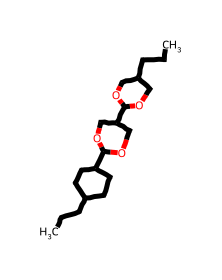 CCCC1CCC(C2OCC(C3OCC(CCC)CO3)CO2)CC1